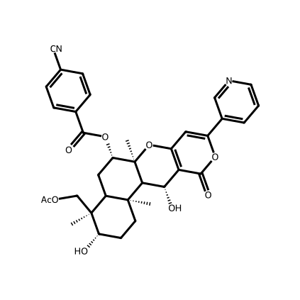 CC(=O)OC[C@@]1(C)C2C[C@H](OC(=O)c3ccc(C#N)cc3)[C@@]3(C)Oc4cc(-c5cccnc5)oc(=O)c4[C@H](O)C3[C@@]2(C)CC[C@@H]1O